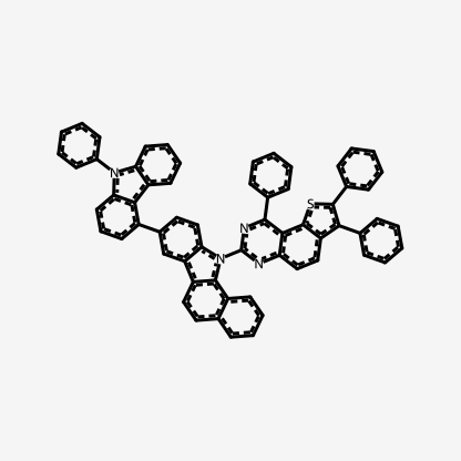 c1ccc(-c2sc3c(ccc4nc(-n5c6ccc(-c7cccc8c7c7ccccc7n8-c7ccccc7)cc6c6ccc7ccccc7c65)nc(-c5ccccc5)c43)c2-c2ccccc2)cc1